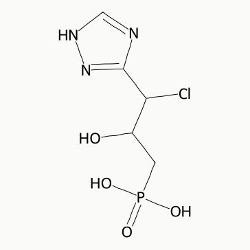 O=P(O)(O)CC(O)C(Cl)c1nc[nH]n1